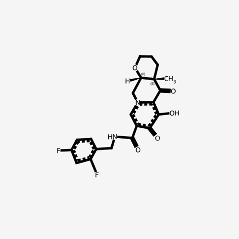 C[C@]12CCCO[C@H]1Cn1cc(C(=O)NCc3ccc(F)cc3F)c(=O)c(O)c1C2=O